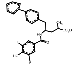 CCOC(=O)C(C)CC(Cc1ccc(-c2ccccc2)cc1)NC(=O)c1cc(F)c(O)c(F)c1